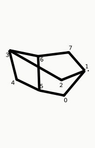 C1[C]2CC3CC1C3C2